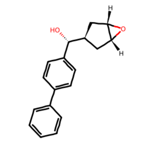 O[C@@H](c1ccc(-c2ccccc2)cc1)[C@H]1C[C@@H]2O[C@@H]2C1